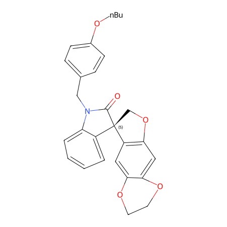 CCCCOc1ccc(CN2C(=O)[C@@]3(COc4cc5c(cc43)OCCO5)c3ccccc32)cc1